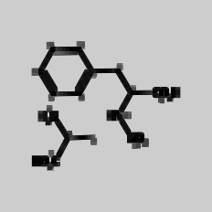 CC(N)C(=O)O.O=C(O)C(Cc1ccccc1)N[N+](=O)[O-]